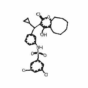 O=c1oc2c(c(O)c1C(c1cccc(NS(=O)(=O)c3cc(Cl)cc(Cl)c3)c1)C1CC1)CCCCCC2